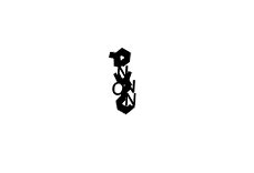 Cc1cccc(N2Cc3nc(-c4ccccn4)oc3C2)c1